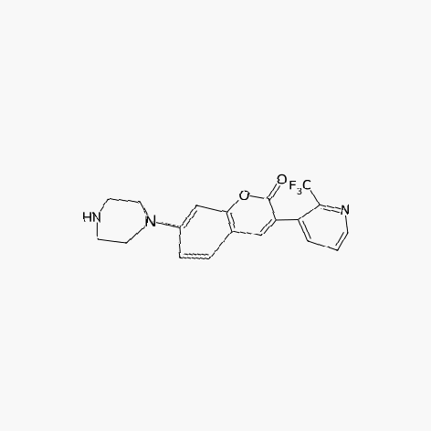 O=c1oc2cc(N3CCNCC3)ccc2cc1-c1cccnc1C(F)(F)F